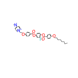 CCCCCCCCOc1ccc(C(=O)Oc2ccc(OC(=O)c3ccc(OCC[n+]4ccc(N(C)C)cc4)cc3)cc2F)cc1